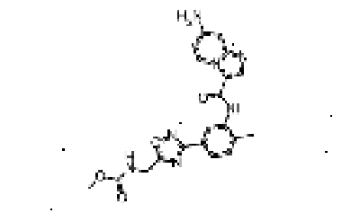 COC(=O)NCc1nc(-c2ccc(C)c(NC(=O)c3cnc4cc(N)ccn34)c2)no1